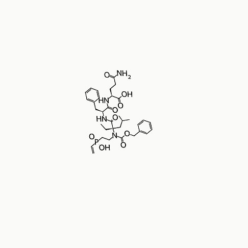 C=CP(=O)(O)CCN(C(=O)OCc1ccccc1)[C@@](CC)(CC(C)C)C(=O)N[C@@H](Cc1ccccc1)C(=O)N[C@@H](CCC(N)=O)C(=O)O